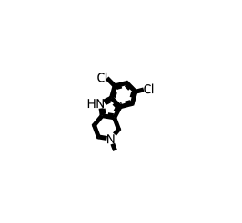 CN1CCc2[nH]c3c(Cl)cc(Cl)cc3c2C1